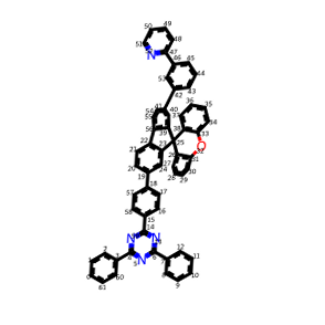 c1ccc(-c2nc(-c3ccccc3)nc(-c3ccc(-c4ccc5c(c4)C4(c6ccccc6Oc6ccccc64)c4cc(-c6cccc(-c7ccccn7)c6)ccc4-5)cc3)n2)cc1